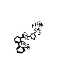 CN(O)C(=S)SC1CCCC(c2nc(C3CCC=C(c4ccccc4S(C)(=O)=O)C3)co2)C1